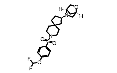 O=S(=O)(c1ccc(OC(F)F)cc1)N1CCC2(CC[C@@H](N3C[C@H]4C[C@@H]3CO4)C2)CC1